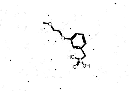 COCCOc1cccc(CP(=O)(O)O)c1